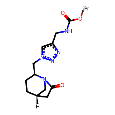 CC(C)OC(=O)NCc1cn(C[C@@H]2CC[C@H]3CC(=O)N2C3)nn1